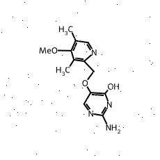 COc1c(C)cnc(COc2cnc(N)nc2O)c1C